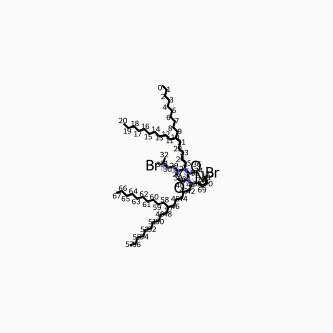 CCCCCCCCCCC(CCCCCCCCCC)CCCCCC(/C(C)=C/C=C(\C)Br)=C(C=O)/C(C(C)=O)=C(/CCCCCC(CCCCCCCCCC)CCCCCCCCCC)c1ccc(Br)n1C